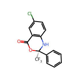 O=C1O[C@@](c2ccccc2)(C(F)(F)F)Nc2ccc(Cl)cc21